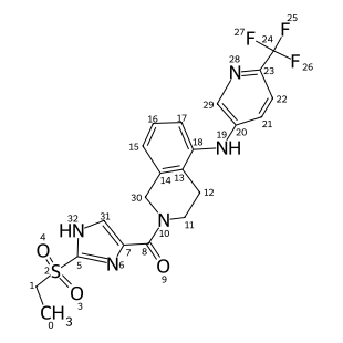 CCS(=O)(=O)c1nc(C(=O)N2CCc3c(cccc3Nc3ccc(C(F)(F)F)nc3)C2)c[nH]1